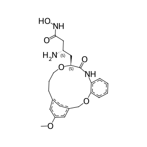 COc1cc2cc(c1)COc1ccccc1NC(=O)[C@H](C[C@H](N)CC(=O)NO)OCCC2